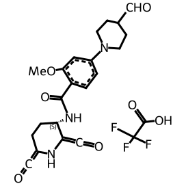 COc1cc(N2CCC(C=O)CC2)ccc1C(=O)N[C@H]1CCC(=C=O)NC1=C=O.O=C(O)C(F)(F)F